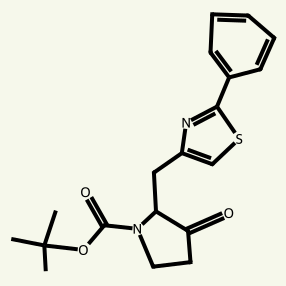 CC(C)(C)OC(=O)N1CCC(=O)C1Cc1csc(-c2ccccc2)n1